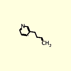 C=CCCc1[c]ccnc1